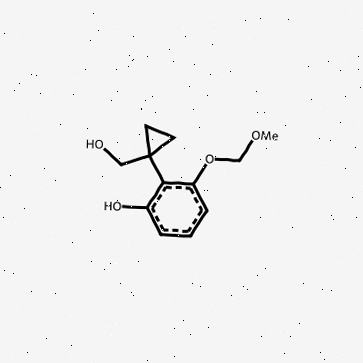 COCOc1cccc(O)c1C1(CO)CC1